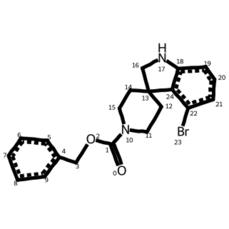 O=C(OCc1ccccc1)N1CCC2(CC1)CNc1cccc(Br)c12